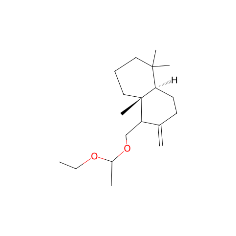 C=C1CC[C@@H]2C(C)(C)CCC[C@@]2(C)C1COC(C)OCC